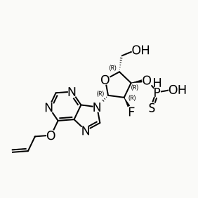 C=CCOc1ncnc2c1ncn2[C@@H]1O[C@H](CO)[C@@H](O[PH](O)=S)[C@H]1F